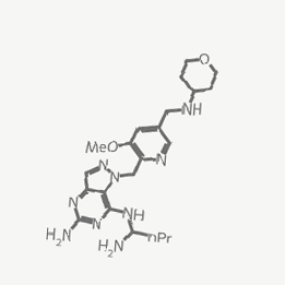 CCCC(N)Nc1nc(N)nc2cnn(Cc3ncc(CNC4CCOCC4)cc3OC)c12